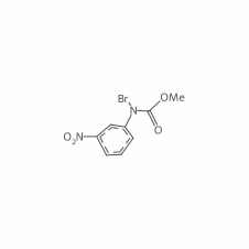 COC(=O)N(Br)c1cccc([N+](=O)[O-])c1